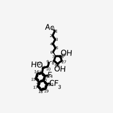 CC(=O)CCCCCC[C@@H]1[C@@H](CCC(O)c2ccc3cccc(C(F)(F)F)c3c2F)[C@H](O)C[C@@H]1O